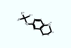 FC(F)(F)Oc1ccc2c(c1)CCCO2